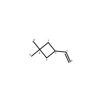 C=CC1CC(C)(C)C1